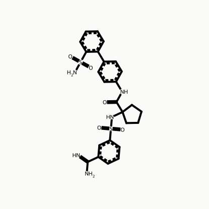 N=C(N)c1cccc(S(=O)(=O)NC2(C(=O)Nc3ccc(-c4ccccc4S(N)(=O)=O)cc3)CCCC2)c1